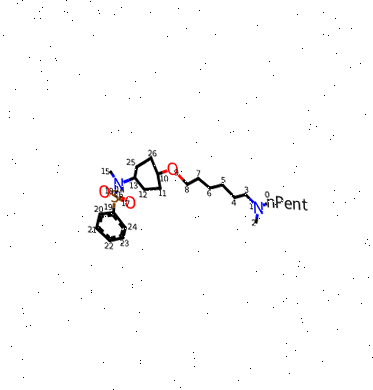 CCCCCN(C)CCCCCCOC1CCC(N(C)S(=O)(=O)c2ccccc2)CC1